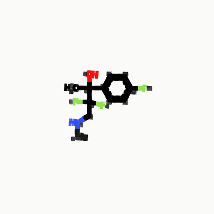 CC(C)(C)NCC(F)(F)C(C)(O)c1ccc(F)cc1